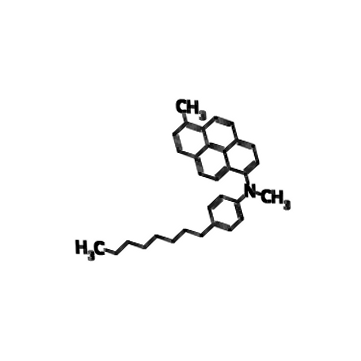 CCCCCCCCc1ccc(N(C)c2ccc3ccc4c(C)ccc5ccc2c3c54)cc1